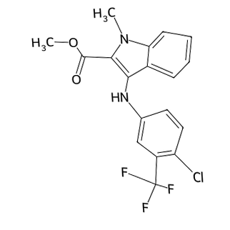 COC(=O)c1c(Nc2ccc(Cl)c(C(F)(F)F)c2)c2ccccc2n1C